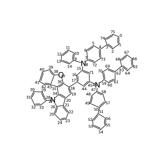 c1ccc(-c2ccc(N(c3ccccc3)c3cc(-c4cc5c6ccccc6n(-c6ccccc6)c5c5c4oc4ccccc45)cc(N(c4ccc(-c5ccccc5)cc4)c4ccc(-c5ccccc5)cc4)c3)cc2)cc1